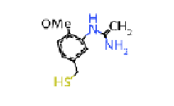 C=C(N)Nc1cc(CS)ccc1OC